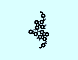 C=Cc1ccc(Oc2ccc(C3(c4ccc(C)c(F)c4)c4ccccc4-c4ccc(N(c5ccc6c(c5)C(c5ccc(Oc7ccc(C=C)cc7)cc5)(c5ccc(C)c(F)c5)c5ccccc5-6)c5cccc6c5oc5ccccc56)cc43)cc2)cc1